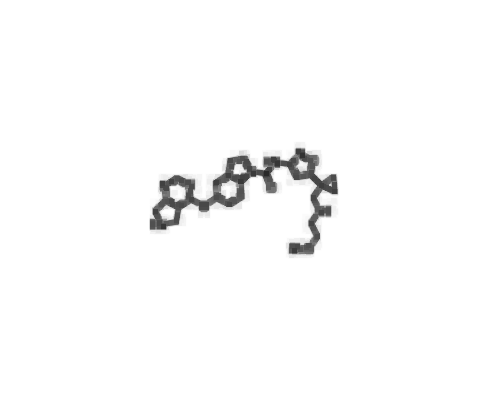 COCCNCC1(c2cc(NC(=O)n3ccc4cc(Oc5ncnc6c5CNC6)ccc43)no2)CC1